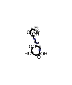 CC[C@H](O)[C@@H](C)[C@H]1O[C@@H]1C[C@@](C)(O)/C=C/C=C(\C)[C@H]1OC(=O)C[C@H](O)CCC(=O)[C@@H](O)/C=C/[C@@H]1C